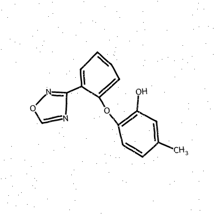 Cc1ccc(Oc2ccccc2-c2ncon2)c(O)c1